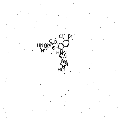 Cl.O=P(O)(O)Oc1c[nH]c2ccc(Br)c(Cl)c12.c1nnn[nH]1.c1nnn[nH]1.c1nnn[nH]1